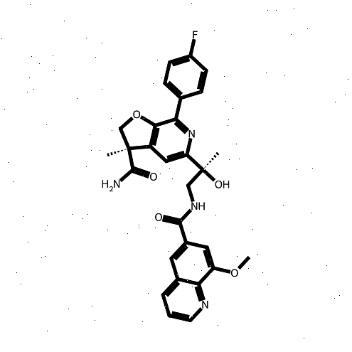 COc1cc(C(=O)NC[C@](C)(O)c2cc3c(c(-c4ccc(F)cc4)n2)OC[C@]3(C)C(N)=O)cc2cccnc12